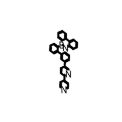 c1ccc2c(c1)B1c3ccccc3-c3cc(-c4ccc(-c5ccncc5)nc4)ccc3N1c1ccccc1-2